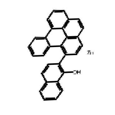 Oc1c(-c2ccc3ccc4cccc5c6ccccc6c2c3c45)ccc2ccccc12.[Zn]